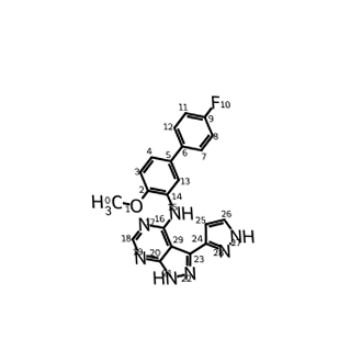 COc1ccc(-c2ccc(F)cc2)cc1Nc1ncnc2[nH]nc(-c3cc[nH]n3)c12